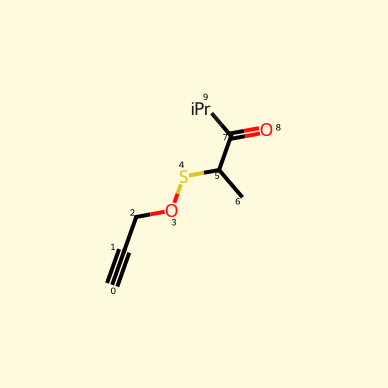 C#CCOSC(C)C(=O)C(C)C